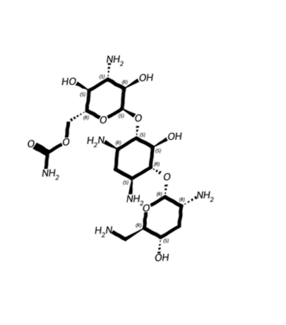 NC[C@H]1O[C@H](O[C@H]2[C@H](O)[C@@H](O[C@H]3O[C@H](COC(N)=O)[C@@H](O)[C@H](N)[C@H]3O)[C@H](N)C[C@@H]2N)[C@H](N)C[C@@H]1O